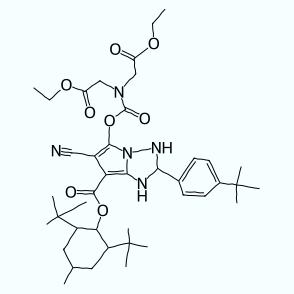 CCOC(=O)CN(CC(=O)OCC)C(=O)Oc1c(C#N)c(C(=O)OC2C(C(C)(C)C)CC(C)CC2C(C)(C)C)c2n1NC(c1ccc(C(C)(C)C)cc1)N2